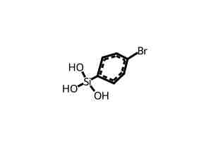 O[Si](O)(O)c1ccc(Br)cc1